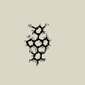 Fc1cc(F)c(F)c(-c2c3c(F)cccc3c(-c3c(F)c(F)c(F)c(F)c3F)c3c(F)ccc(F)c23)c1F